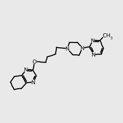 Cc1ccnc(N2CCN(CCCCOc3cnc4c(n3)CCCC4)CC2)n1